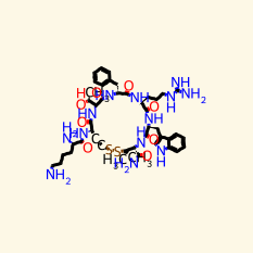 C[C@@H](O)[C@@H]1NC(=O)[C@@H](NC(=O)[C@@H](N)CCCCN)CCSSC(C)(C)[C@@H](C(N)=O)NC(=O)[C@H](Cc2c[nH]c3ccccc23)NC(=O)[C@H](CCCNC(=N)N)NC(=O)[C@@H](Cc2ccccc2)NC1=O